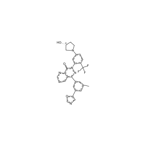 Cc1cc(-c2cnco2)cc(-c2nn(-c3cc(N4CC[C@@H](O)C4)ccc3C(F)(F)F)c(=O)c3ncccc23)c1